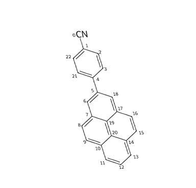 N#Cc1ccc(-c2cc3ccc4cccc5ccc(c2)c3c45)cc1